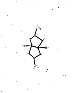 CN1C[C@H]2CN(C)C[C@H]2C1